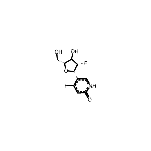 O=c1cc(F)c([C@@H]2O[C@H](CO)C(O)[C@@H]2F)c[nH]1